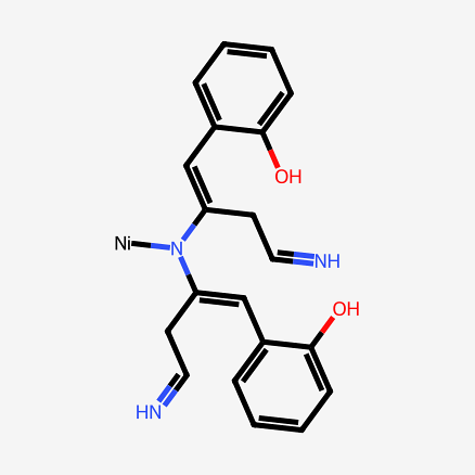 N=CCC(=Cc1ccccc1O)[N]([Ni])C(=Cc1ccccc1O)CC=N